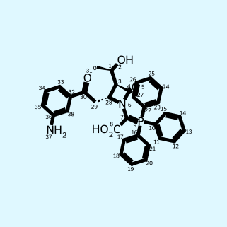 C[C@@H](O)[C@H]1C(=O)N(C(C(=O)O)=P(c2ccccc2)(c2ccccc2)c2ccccc2)[C@@H]1CC(=O)c1cccc(N)c1